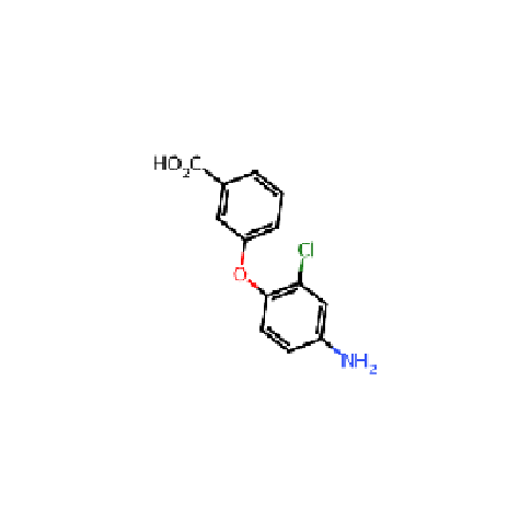 Nc1ccc(Oc2cccc(C(=O)O)c2)c(Cl)c1